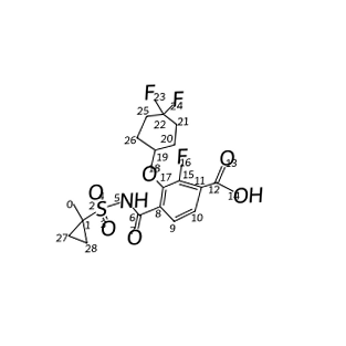 CC1(S(=O)(=O)NC(=O)c2ccc(C(=O)O)c(F)c2OC2CCC(F)(F)CC2)CC1